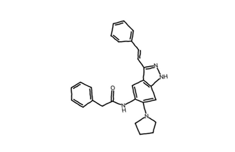 O=C(Cc1ccccc1)Nc1cc2c(C=Cc3ccccc3)n[nH]c2cc1N1CCCC1